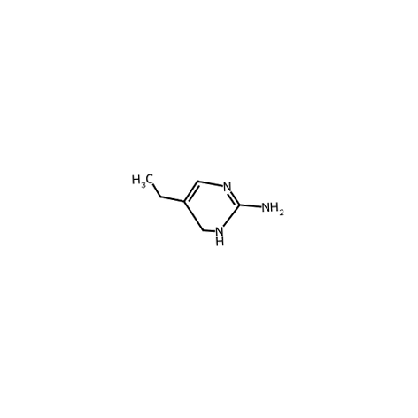 CCC1=CN=C(N)NC1